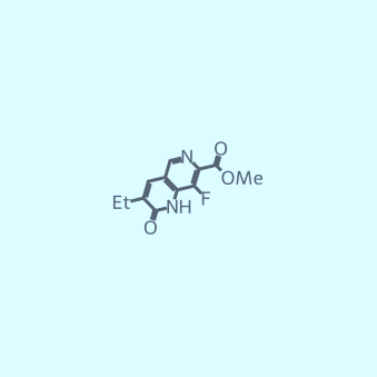 CCc1cc2cnc(C(=O)OC)c(F)c2[nH]c1=O